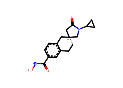 O=C(NO)c1ccc2c(c1)CC[C@@]1(CC(=O)N(C3CC3)C1)C2